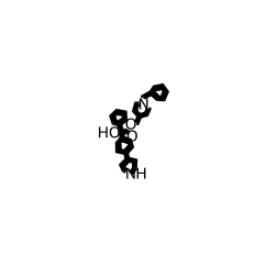 O=C(OCC1CCN(Cc2ccccc2)CC1)[C@](O)(c1ccccc1)c1ccc(C2=CCNCC2)cc1